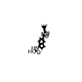 O=C(O)N[C@@H]1CCc2cc(-c3nc(C4CC4)no3)ccc21